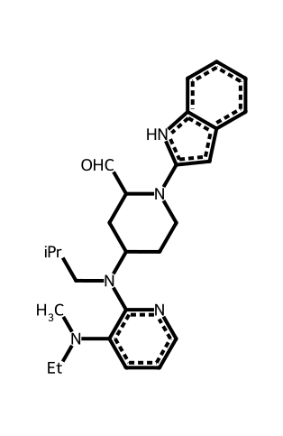 CCN(C)c1cccnc1N(CC(C)C)C1CCN(c2cc3ccccc3[nH]2)C(C=O)C1